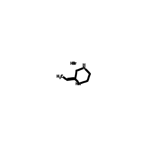 Br.CC=C1CNCCN1